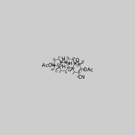 CC(=O)OC1=C(C#N)C[C@]2(C)[C@H]3CC[C@@]4(C)[C@@H](CC[C@]4(C)OC(C)=O)[C@@H]3CC[C@]23O[C@]13C